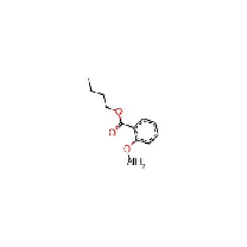 CCCCOC(=O)c1ccccc1[O][AlH2]